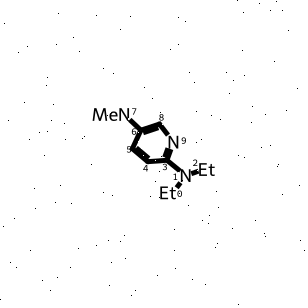 CCN(CC)c1ccc(NC)cn1